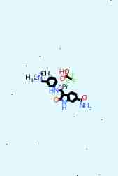 CCC/C(Nc1cccc(CN(C)C)c1)=C1/C(=O)Nc2cc(C(N)=O)ccc21.O=C(O)C(F)(F)F